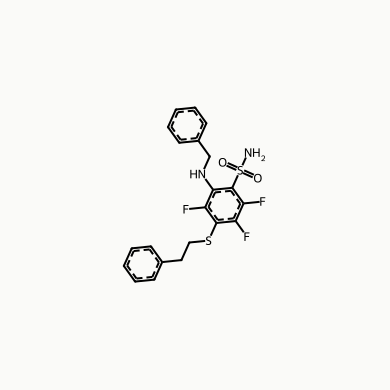 NS(=O)(=O)c1c(F)c(F)c(SCCc2ccccc2)c(F)c1NCc1ccccc1